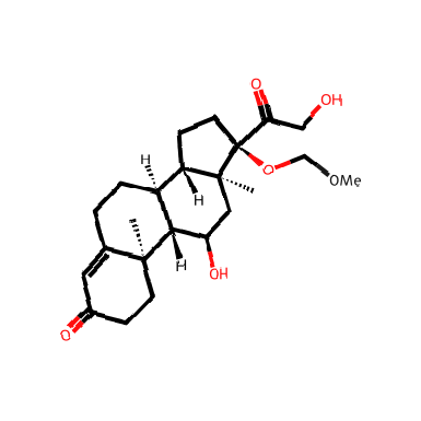 COCO[C@]1(C(=O)CO)CC[C@H]2[C@@H]3CCC4=CC(=O)CC[C@]4(C)[C@H]3C(O)C[C@@]21C